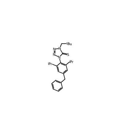 CC(C)c1cc(Cc2ccccc2)cc(C(C)C)c1-n1nnn(CC(C)(C)C)c1=S